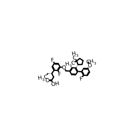 CC[C@@H](CC(=O)O)c1cc(F)cc(OCc2ccc(-c3cc(OC)ccc3F)c([C@H]3CCCC3(C)C)c2)c1F